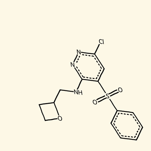 O=S(=O)(c1ccccc1)c1cc(Cl)nnc1NCC1CCO1